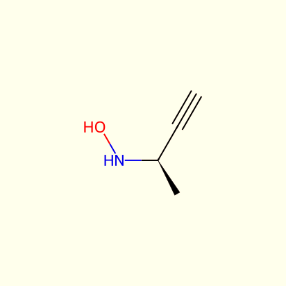 C#C[C@@H](C)NO